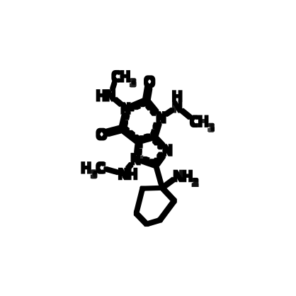 CNn1c(=O)c2c(nc(C3(N)CCCCC3)n2NC)n(NC)c1=O